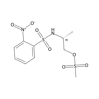 C[C@H](COS(C)(=O)=O)NS(=O)(=O)c1ccccc1[N+](=O)[O-]